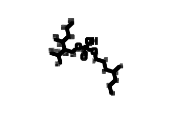 CCCC(C)CCCOP(=O)(O)OCC(C(C)C)C(C)CCC